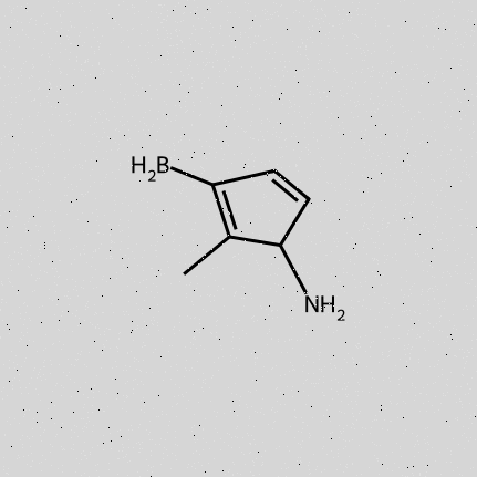 BC1=C(C)C(N)C=C1